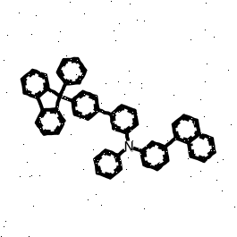 c1ccc(N(c2cccc(-c3ccc(C4(c5ccccc5)c5ccccc5-c5ccccc54)cc3)c2)c2cccc(-c3cccc4ccccc34)c2)cc1